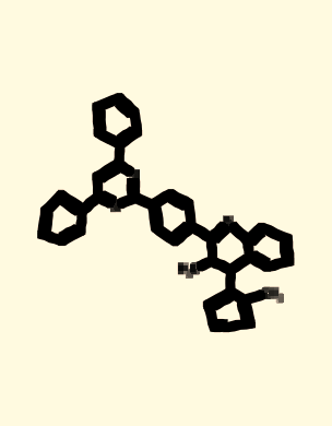 Cc1ccccc1C1c2ccccc2N=C(c2ccc(-c3nc(-c4ccccc4)cc(-c4ccccc4)n3)cc2)C1C